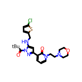 CC(C)(C)C(=O)n1nc(-c2cccn(CCN3CCOCC3)c2=O)cc1NCc1ccc(Cl)s1